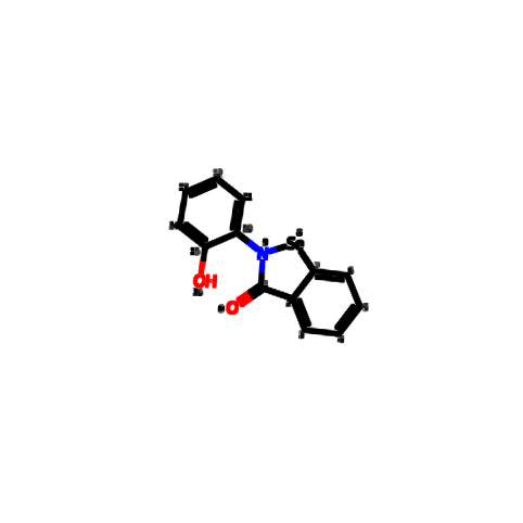 O=c1c2ccccc2[se]n1-c1ccccc1O